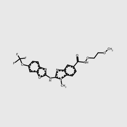 COCCONC(=O)c1ccc2c(c1)nc(Nc1nc3ccc(OC(F)(F)F)cc3o1)n2C